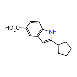 O=C(O)c1ccc2[nH]c(C3CCCC3)cc2c1